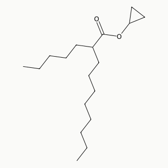 CCCCCCCCC(CCCCC)C(=O)OC1CC1